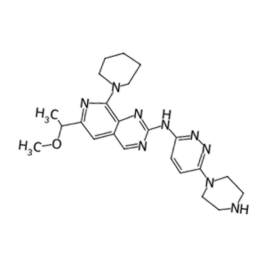 COC(C)c1cc2cnc(Nc3ccc(N4CCNCC4)nn3)nc2c(N2CCCCC2)n1